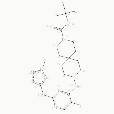 Cc1cnc(Nc2cnn(C)c2)nc1NC1CCC2(CC1)CCN(C(=O)OC(C)(C)C)CC2